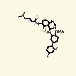 COc1ccc(-c2ccc(F)cc2F)cc1Nc1ncnc2ccc(NC(=O)/C=C/CN(C)C)c(Cl)c12